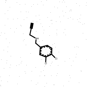 C#CCNCc1ccc(Cl)c(Cl)c1